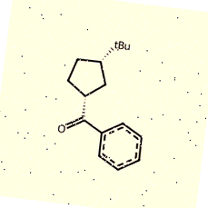 CC(C)(C)[C@H]1CC[C@@H](C(=O)c2ccccc2)C1